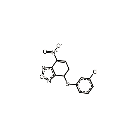 O=[N+]([O-])C1=CCC(Sc2cccc(Cl)c2)c2nonc21